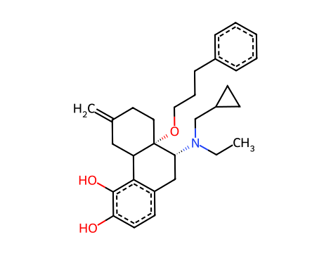 C=C1CC[C@]2(OCCCc3ccccc3)C(C1)c1c(ccc(O)c1O)C[C@H]2N(CC)CC1CC1